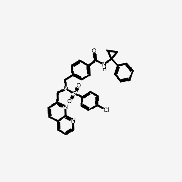 O=C(NC1(c2ccccc2)CC1)c1ccc(CN(Cc2ccc3cccnc3n2)S(=O)(=O)c2ccc(Cl)cc2)cc1